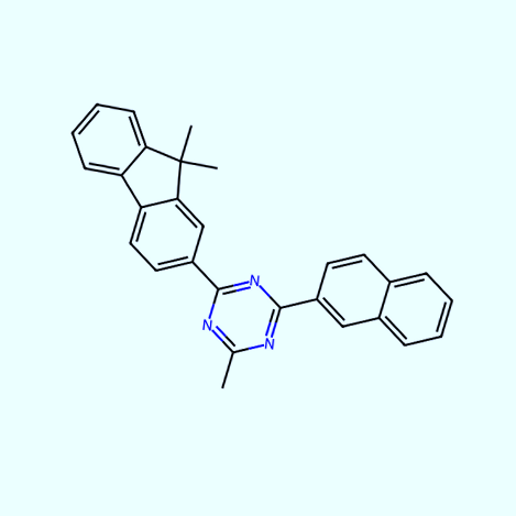 Cc1nc(-c2ccc3c(c2)C(C)(C)c2ccccc2-3)nc(-c2ccc3ccccc3c2)n1